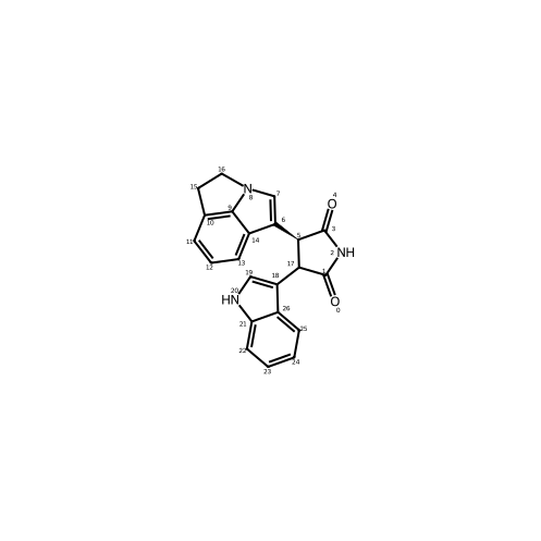 O=C1NC(=O)[C@H](c2cn3c4c(cccc24)CC3)C1c1c[nH]c2ccccc12